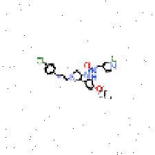 O=C(NCc1ccnc(Cl)c1)n1c2c(c3ccc(OC(F)(F)F)cc31)CN(C/C=C/c1ccc(Cl)cc1)CC2